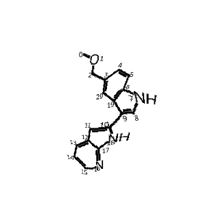 COCc1ccc2[nH]cc(-c3cc4cccnc4[nH]3)c2c1